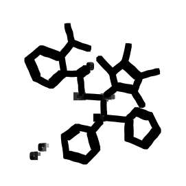 CC1=C(C)C(C)[C]([Zr+2]([NH]C(=O)c2ccccc2C(C)C)[SiH](c2ccccc2)c2ccccc2)=C1C.[Cl-].[Cl-]